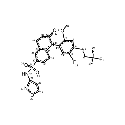 COc1cc(SCC(F)(F)F)c(F)cc1-n1c(=O)ccc2cc(S(=O)(=O)Nc3ccon3)ccc21